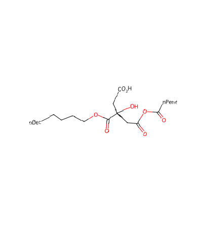 CCCCCCCCCCCCCCOC(=O)C(O)(CC(=O)O)CC(=O)OC(=O)CCCCC